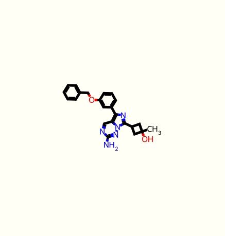 CC1(O)CC(c2nc(-c3cccc(OCc4ccccc4)c3)c3cnc(N)nn23)C1